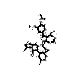 Cc1csc2cc([C@H](C3CC3)n3nc(-c4ccc(OC(C)F)c(P)c4)c4c(N)ncnc43)c(-c3cccc(F)c3)c(=O)n12